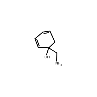 NCC1(O)C=CC=CC1